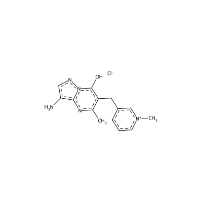 Cc1nc2c(N)cnn2c(O)c1Cc1ccc[n+](C)c1.[Cl-]